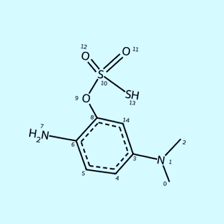 CN(C)c1ccc(N)c(OS(=O)(=O)S)c1